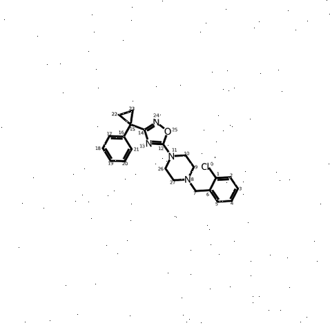 Clc1ccccc1CN1CCN(c2nc(C3(c4ccccc4)CC3)no2)CC1